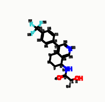 C[C@@H](O)C(=O)NC1CCCc2c(-c3ccc(C(F)(F)F)cc3)cncc21